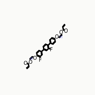 C=CC(=O)O/C=C\Oc1ccc(-c2ccc(-c3ccc(O/C=C\OC(=O)C=C)c(F)c3)cc2F)cc1